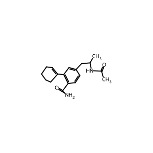 CC(=O)NC(C)Cc1ccc(C(N)=O)c(C2=CCCCC2)c1